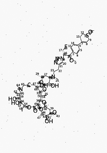 CO[C@H](c1ccc(C2=CC[S+]([O-])CC2)cc1)[C@@H](CF)n1cc(CCN(C)[C@H]2C[C@@H](C)O[C@@H](O[C@@H]3[C@@H](C)[C@H](O[C@H]4C[C@@](C)(OC)[C@@H](O)[C@H](C)O4)[C@@H](C)C(=O)O[C@H](I)[C@@](C)(O)[C@H](O)[C@@H](C)N(C)CCC[C@@]3(C)O)C2O)nn1